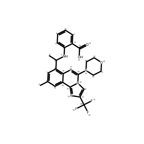 Cc1cc(C(C)Nc2ccccc2C(=O)O)c2nc(N3CCOCC3)n3cc(C(F)(F)F)nc3c2c1